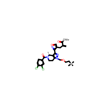 C=C(Cc1conc1-c1nn(COCC[Si](C)(C)C)c2c1[C@@H](C)N(C(=O)c1ccc(Cl)c(Cl)c1)CC2)C(=O)OC